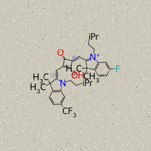 CC(C)CCN1/C(=C\C2=C(O)C(=C\C3=[N+](CCC(C)C)c4cc(F)ccc4C3(C)C)/C2=O)C(C)(C)c2ccc(C(F)(F)F)cc21